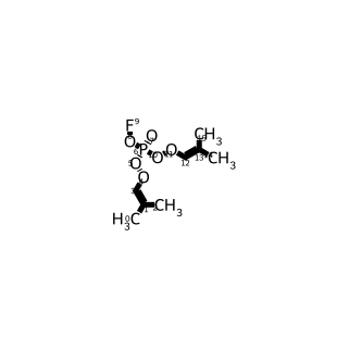 CC(C)=COOP(=O)(OF)OOC=C(C)C